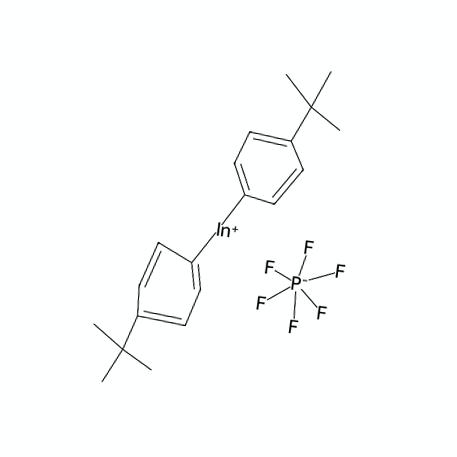 CC(C)(C)c1cc[c]([In+][c]2ccc(C(C)(C)C)cc2)cc1.F[P-](F)(F)(F)(F)F